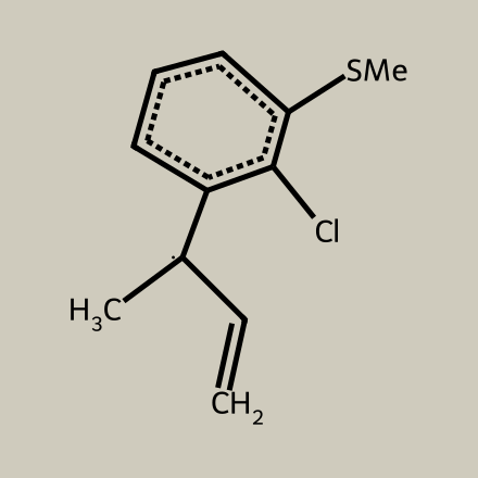 C=C[C](C)c1cccc(SC)c1Cl